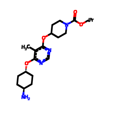 Cc1c(OC2CCN(C(=O)OC(C)C)CC2)ncnc1O[C@H]1CC[C@H](N)CC1